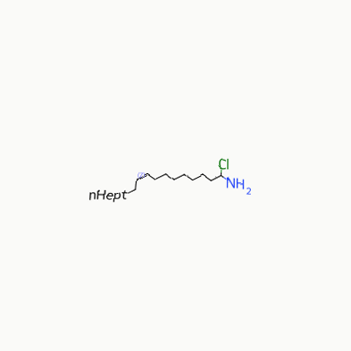 CCCCCCCC/C=C\CCCCCCCC(N)Cl